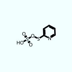 O=S(=O)(O)OSc1ccccn1